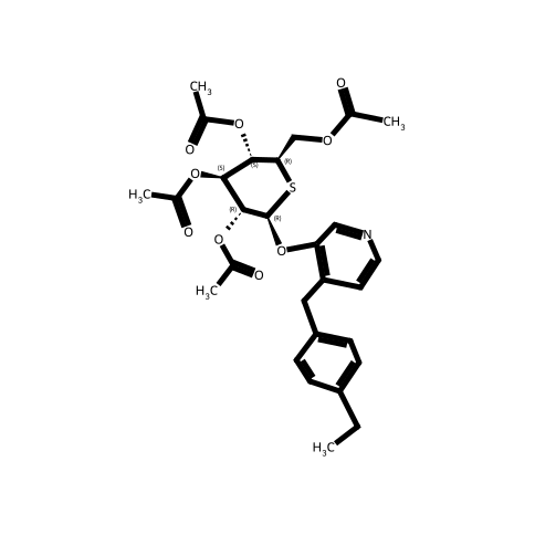 CCc1ccc(Cc2ccncc2O[C@@H]2S[C@H](COC(C)=O)[C@@H](OC(C)=O)[C@H](OC(C)=O)[C@H]2OC(C)=O)cc1